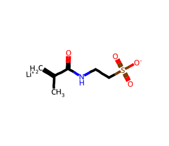 C=C(C)C(=O)NCCS(=O)(=O)[O-].[Li+]